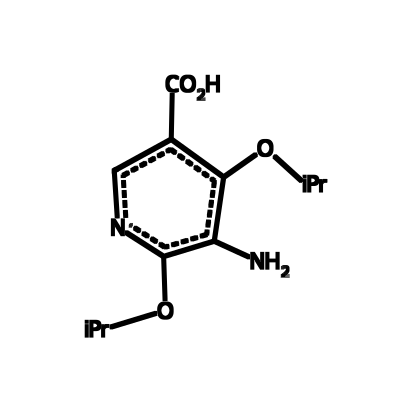 CC(C)Oc1ncc(C(=O)O)c(OC(C)C)c1N